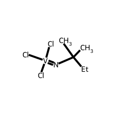 CCC(C)(C)[N]=[V]([Cl])([Cl])[Cl]